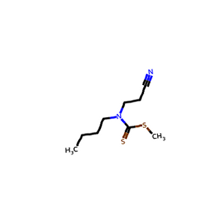 CCCCN(CCC#N)C(=S)SC